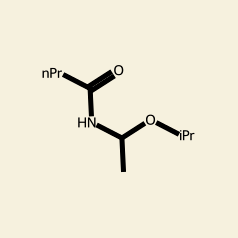 CCCC(=O)NC(C)OC(C)C